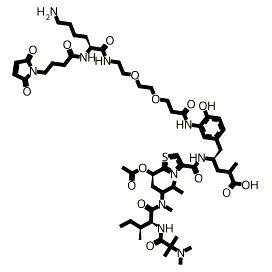 CC[C@H](C)[C@H](NC(=O)C(C)(C)N(C)C)C(=O)N(C)C(C[C@@H](OC(C)=O)c1nc(C(=O)N[C@@H](Cc2ccc(O)c(NC(=O)CCOCCOCCNC(=O)[C@H](CCCCN)NC(=O)CCCN3C(=O)C=CC3=O)c2)CC(C)C(=O)O)cs1)C(C)C